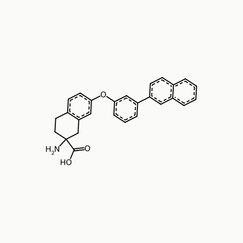 NC1(C(=O)O)CCc2ccc(Oc3cccc(-c4ccc5ccccc5c4)c3)cc2C1